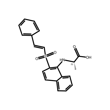 C[C@H](Nc1c(S(=O)(=O)C=Cc2ccccc2)ccc2ccccc12)C(=O)O